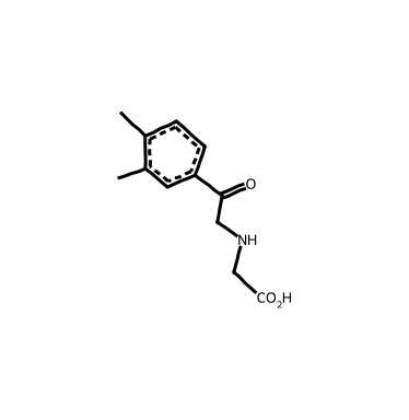 Cc1ccc(C(=O)CNCC(=O)O)cc1C